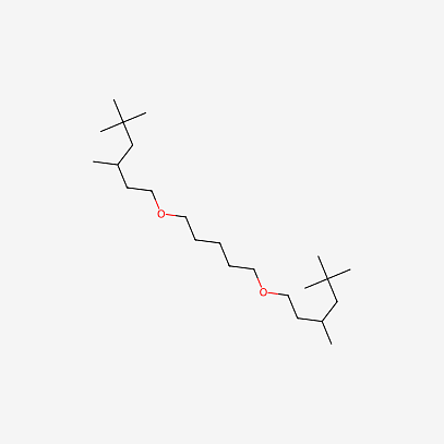 CC(CCOCCCCCOCCC(C)CC(C)(C)C)CC(C)(C)C